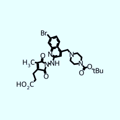 CC1=C(CCC(=O)O)C(=O)N(Nc2cc(CN3CCN(C(=O)OC(C)(C)C)CC3)c3ccc(Br)cc3n2)C1=O